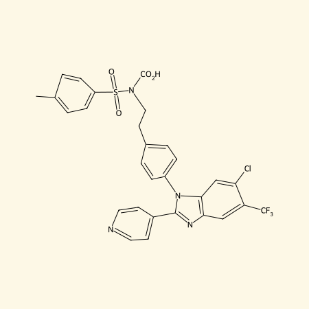 Cc1ccc(S(=O)(=O)N(CCc2ccc(-n3c(-c4ccncc4)nc4cc(C(F)(F)F)c(Cl)cc43)cc2)C(=O)O)cc1